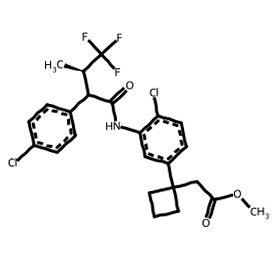 COC(=O)CC1(c2ccc(Cl)c(NC(=O)C(c3ccc(Cl)cc3)[C@@H](C)C(F)(F)F)c2)CCC1